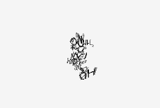 CN(C)C(=O)c1c(N)ccc(-c2cnc3c(c2Cl)[C@]2(CC[C@@H](CO)C2)CN3)c1F